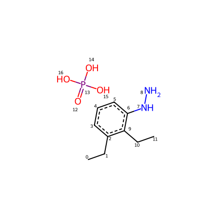 CCc1cccc(NN)c1CC.O=P(O)(O)O